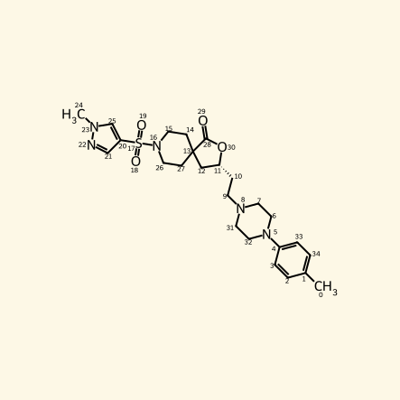 Cc1ccc(N2CCN(CC[C@@H]3CC4(CCN(S(=O)(=O)c5cnn(C)c5)CC4)C(=O)O3)CC2)cc1